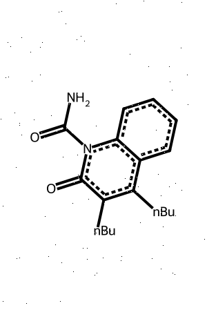 CCCCc1c(CCCC)c2ccccc2n(C(N)=O)c1=O